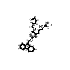 NC(=O)NCCCC(NC(=O)OCC1c2ccccc2-c2ccccc21)C(=O)OC[C@@H]1CCC=CO1